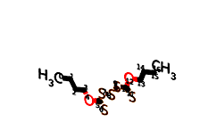 CCCCOC(=S)SSSC(=S)OCCCC